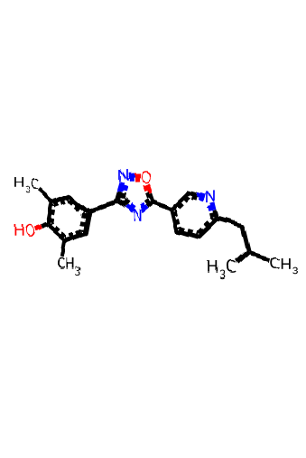 Cc1cc(-c2noc(-c3ccc(CC(C)C)nc3)n2)cc(C)c1O